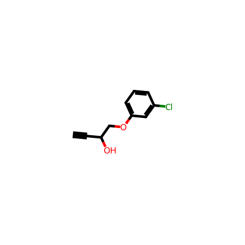 C#CC(O)COc1cccc(Cl)c1